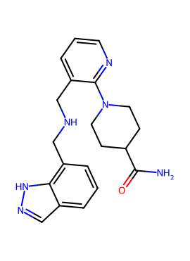 NC(=O)C1CCN(c2ncccc2CNCc2cccc3cn[nH]c23)CC1